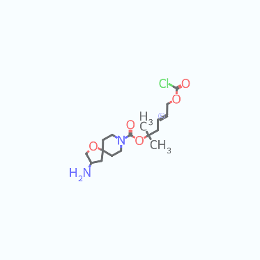 CC(C)(C/C=C/COC(=O)Cl)OC(=O)N1CCC2(CC1)CC(N)CO2